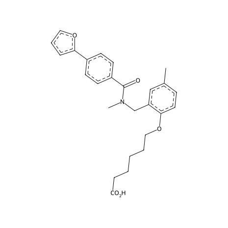 Cc1ccc(OCCCCCC(=O)O)c(CN(C)C(=O)c2ccc(-c3ccco3)cc2)c1